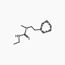 CCNC(=S)N(C)CCc1ccccc1